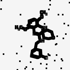 COc1ccc(OC)c2c1N=C(NCc1cccc(Cl)c1)C1(CCOCC1)N2